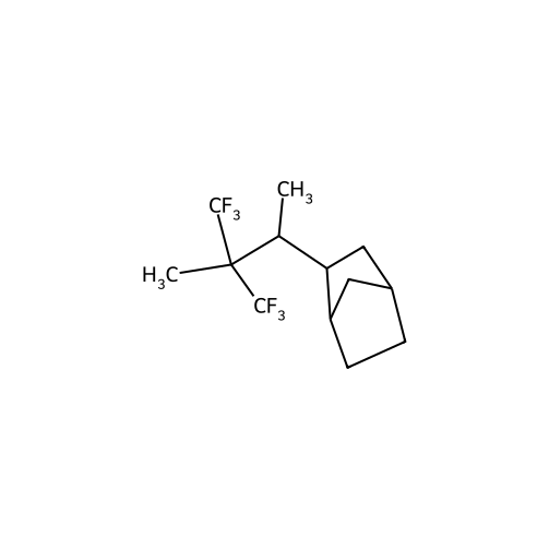 CC(C1CC2CCC1C2)C(C)(C(F)(F)F)C(F)(F)F